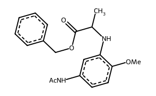 COc1ccc(NC(C)=O)cc1NC(C)C(=O)OCc1ccccc1